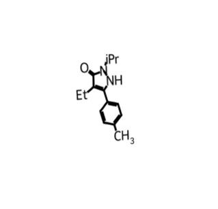 CCc1c(-c2ccc(C)cc2)[nH]n(C(C)C)c1=O